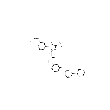 CC(C)(C)c1cc(NC(=O)Nc2cccc(Oc3nccc(-c4cccnc4)n3)c2)n(-c2cccc(CC(N)=O)c2)n1